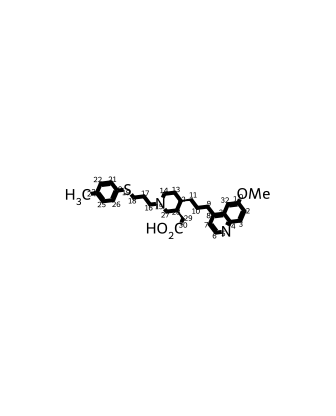 COc1ccc2nccc(CCC[C@@H]3CCN(CCCSc4ccc(C)cc4)C[C@@H]3CC(=O)O)c2c1